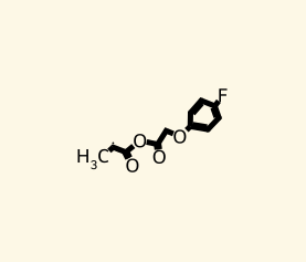 C[CH]C(=O)OC(=O)COc1ccc(F)cc1